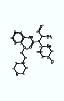 NC(N=O)C(C(=O)Nc1cnccc1OCCN1CCOCC1)C1NCC(Cl)CN1